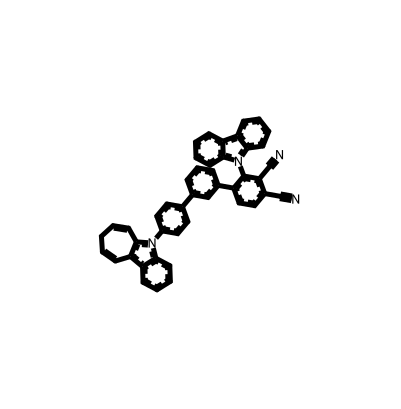 N#Cc1ccc(-c2cccc(-c3ccc(-n4c5c(c6ccccc64)C=CCC=C5)cc3)c2)c(-n2c3ccccc3c3ccccc32)c1C#N